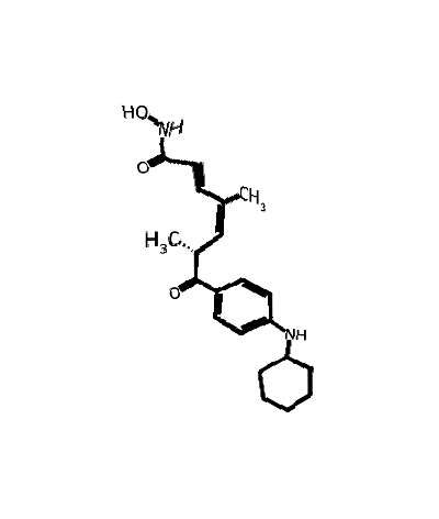 CC(C=CC(=O)NO)=C[C@@H](C)C(=O)c1ccc(NC2CCCCC2)cc1